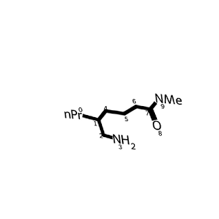 CCCC(CN)CCCC(=O)NC